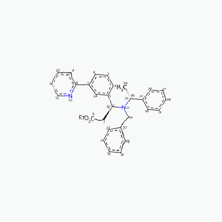 CCOC(=O)C[C@@H](c1cccc(-c2ccccn2)c1)N(Cc1ccccc1)[C@H](C)c1ccccc1